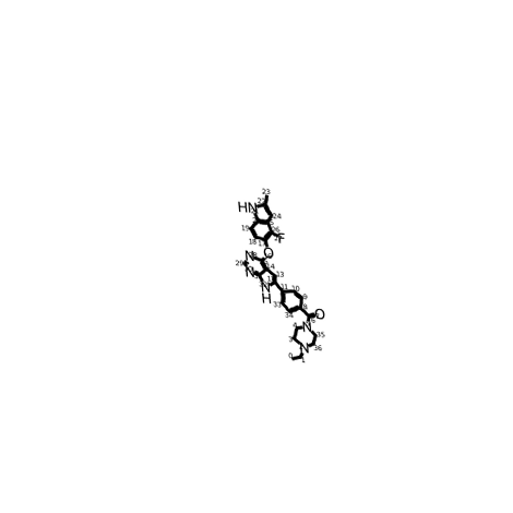 CCN1CCN(C(=O)c2ccc(-c3cc4c(Oc5ccc6[nH]c(C)cc6c5F)ncnc4[nH]3)cc2)CC1